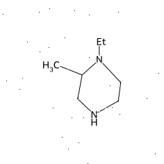 [CH2]CN1CCNCC1C